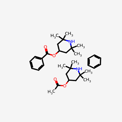 CC(=O)OC1CC(C)(C)NC(C)(C)C1.CC1(C)CC(OC(=O)c2ccccc2)CC(C)(C)N1.c1ccccc1